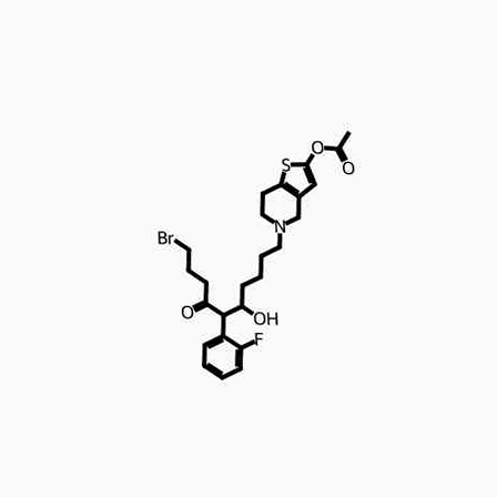 CC(=O)Oc1cc2c(s1)CCN(CCCCC(O)C(C(=O)CCCBr)c1ccccc1F)C2